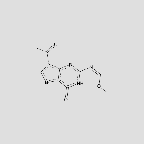 CO/C=N\c1nc2c(ncn2C(C)=O)c(=O)[nH]1